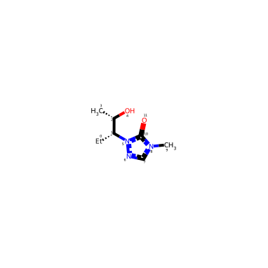 CC[C@H]([C@H](C)O)n1ncn(C)c1=O